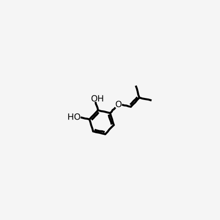 CC(C)=COc1cccc(O)c1O